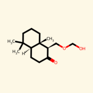 CC1(C)CCC[C@]2(C)[C@@H](COCO)C(=O)CC[C@@H]12